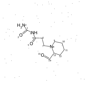 NC(=O)NC(=O)CCN1CCCCC1C=O